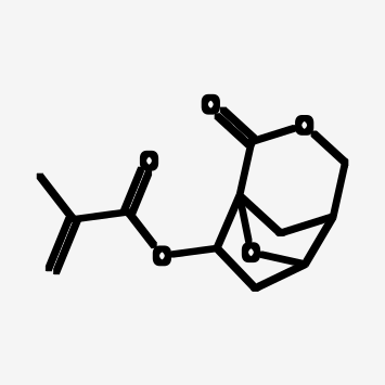 C=C(C)C(=O)OC1CC2OC13CC2COC3=O